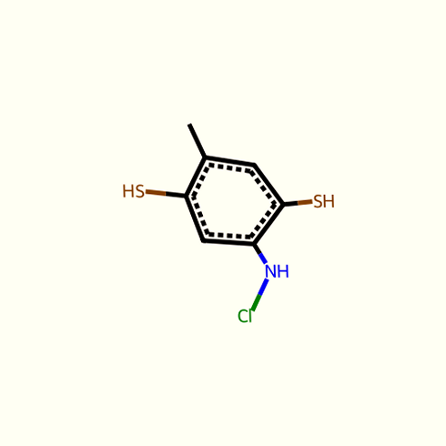 Cc1cc(S)c(NCl)cc1S